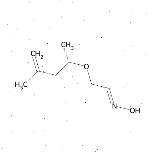 C=C(C)C[C@H](C)OC/C=N/O